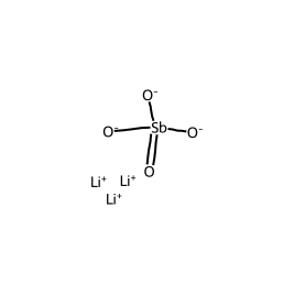 [Li+].[Li+].[Li+].[O]=[Sb]([O-])([O-])[O-]